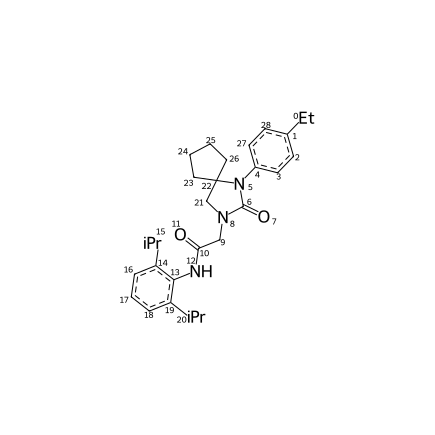 CCc1ccc(N2C(=O)N(CC(=O)Nc3c(C(C)C)cccc3C(C)C)CC23CCCC3)cc1